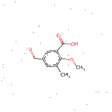 COc1c(C)cc(C=O)cc1C(=O)O